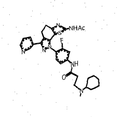 CC(=O)Nc1nc2c(s1)-c1c(c(-c3cccnc3)nn1-c1ccc(NC(=O)CCN(C)C3CCCCC3)cc1F)CC2